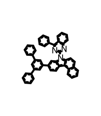 c1ccc(-c2cc(-c3ccccc3)cc(-c3ccc4c5c6ccccc6ccc5n(-c5nc(-c6ccccc6)c6ccccc6n5)c4c3)c2)cc1